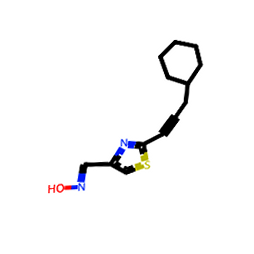 O/N=C/c1csc(C#CCC2CCCCC2)n1